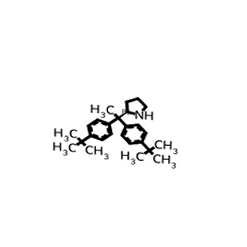 CC(C)(C)c1ccc(C(C)(c2ccc(C(C)(C)C)cc2)[C@H]2CCCN2)cc1